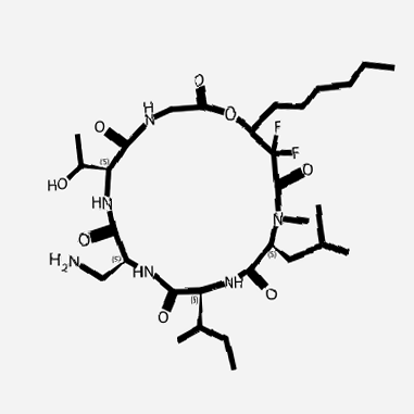 CCCCCCC1OC(=O)CNC(=O)[C@H](C(C)O)NC(=O)[C@H](CN)NC(=O)[C@H](C(C)CC)NC(=O)[C@H](CC(C)C)N(C)C(=O)C1(F)F